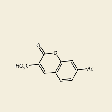 CC(=O)c1ccc2cc(C(=O)O)c(=O)oc2c1